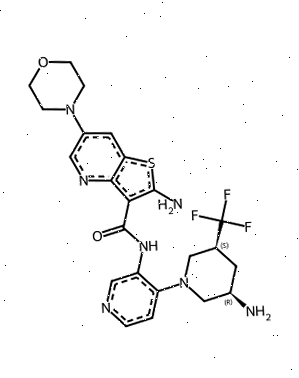 Nc1sc2cc(N3CCOCC3)cnc2c1C(=O)Nc1cnccc1N1C[C@H](N)C[C@H](C(F)(F)F)C1